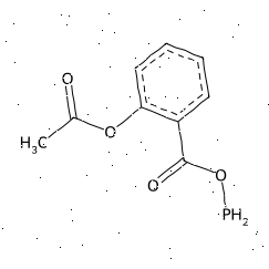 CC(=O)Oc1ccccc1C(=O)OP